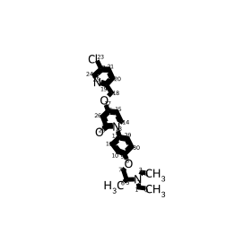 CCN(CC)C(C)COc1ccc(-n2ccc(OCc3ccc(Cl)cn3)cc2=O)cc1